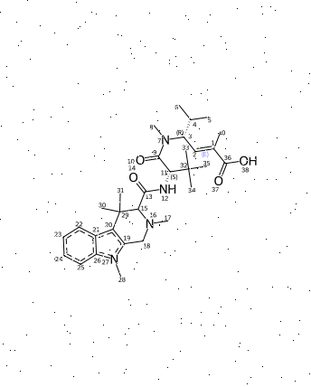 C/C(=C\[C@@H](C(C)C)N(C)C(=O)[C@@H](NC(=O)C1N(C)Cc2c(c3ccccc3n2C)C1(C)C)C(C)(C)C)C(=O)O